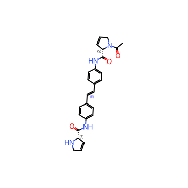 CC(=O)N1CC=C[C@H]1C(=O)Nc1ccc(/C=C/c2ccc(NC(=O)[C@@H]3C=CCN3)cc2)cc1